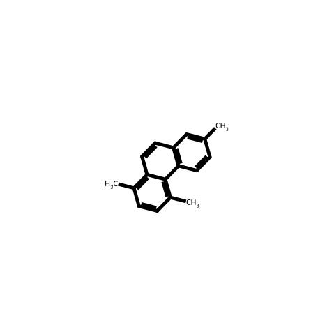 Cc1ccc2c(ccc3c(C)ccc(C)c32)c1